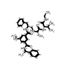 CCNC(=O)[C@@H](NC(=O)[C@H](C)NC[C@H](Cc1ccccc1)NC(=O)c1cc(NC)cc(C(=O)N[C@H](C)c2ccccc2)c1)C(C)C